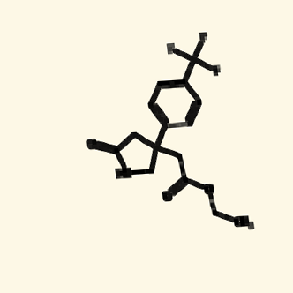 CCOC(=O)CC1(c2ccc(C(F)(F)F)cc2)CNC(=O)C1